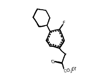 CCOC(=O)C(Cl)Cc1ccc(C2CCCCC2)c(F)c1